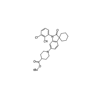 CC(C)(C)OC(=O)C1CCN(c2ccc3c(c2)N(c2cccc(Cl)c2C#N)C(=O)C32CCCCC2)CC1